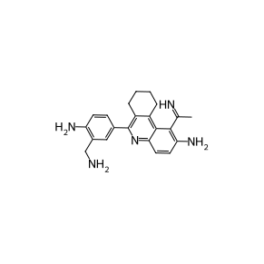 CC(=N)c1c(N)ccc2nc(-c3ccc(N)c(CN)c3)c3c(c12)CCCC3